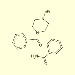 CCCN1CCN(C(=O)c2ccccc2)CC1.NC(=O)c1ccccc1